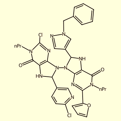 CCCn1c(Cl)nc2c(c1=O)NC(c1ccc(Cl)nc1)N2N1c2nc(-c3ccco3)n(CCC)c(=O)c2NC1c1cnn(Cc2ccccc2)c1